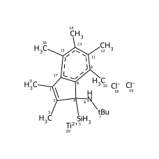 CC1=C(C)C([SiH3])(NC(C)(C)C)c2c(C)c(C)c(C)c(C)c21.[Cl-].[Cl-].[Ti+2]